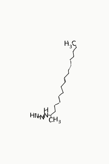 CCCCCCCCCCCCCCCCC(C)NN=N